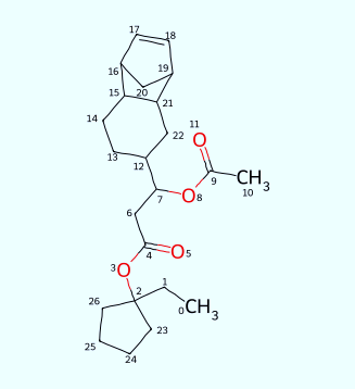 CCC1(OC(=O)CC(OC(C)=O)C2CCC3C4C=CC(C4)C3C2)CCCC1